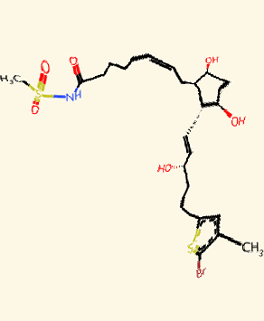 Cc1cc(CC[C@H](O)/C=C/[C@@H]2[C@@H](C/C=C\CCCC(=O)NS(C)(=O)=O)[C@@H](O)C[C@H]2O)sc1Br